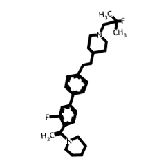 C=C(c1ccc(-c2ccc(CCC3CCN(CC(C)(C)F)CC3)cc2)cc1F)N1CCCCC1